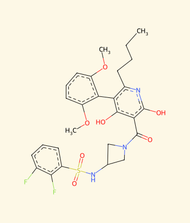 CCCCc1nc(O)c(C(=O)N2CC(NS(=O)(=O)c3cccc(F)c3F)C2)c(O)c1-c1c(OC)cccc1OC